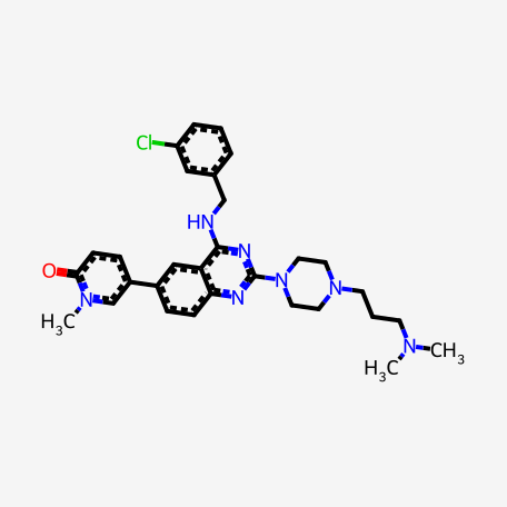 CN(C)CCCN1CCN(c2nc(NCc3cccc(Cl)c3)c3cc(-c4ccc(=O)n(C)c4)ccc3n2)CC1